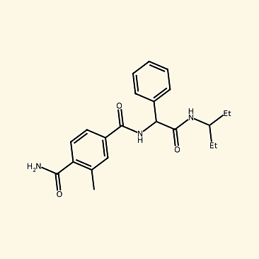 CCC(CC)NC(=O)C(NC(=O)c1ccc(C(N)=O)c(C)c1)c1ccccc1